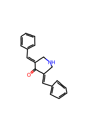 O=C1/C(=C/c2ccccc2)CNC/C1=C\c1ccccc1